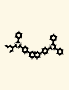 C=C/C=C(\C=C)c1nc(-c2ccccc2)nc(-c2ccc(-c3ccc4ccc(-c5ccc(-c6nc(-c7ccccc7)cc(-c7ccccc7)n6)cc5)cc4c3)cc2)n1